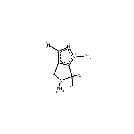 CC1(C)c2c(c(N)nn2P)CN1P